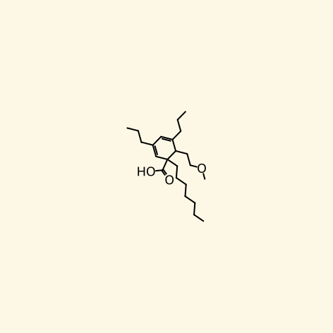 CCCCCCCC1(C(=O)O)C=C(CCC)C=C(CCC)C1CCOC